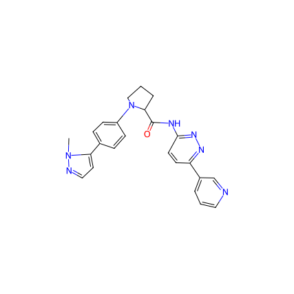 Cn1nccc1-c1ccc(N2CCCC2C(=O)Nc2ccc(-c3cccnc3)nn2)cc1